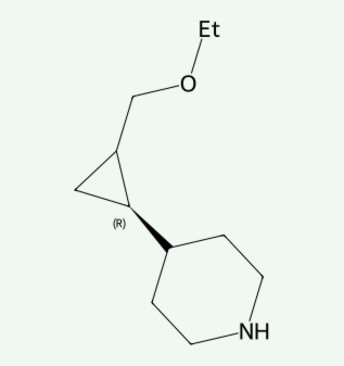 CCOCC1C[C@@H]1C1CCNCC1